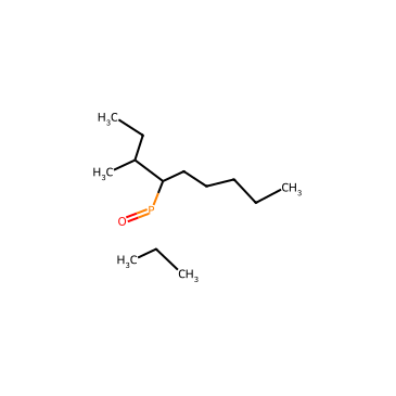 CCC.CCCCCC(P=O)C(C)CC